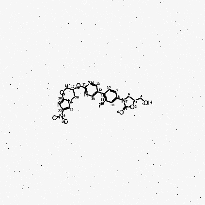 O=C1O[C@H](CO)CN1c1ccc(-c2cnc(OC3COc4nc([N+](=O)[O-])cn4C3)nc2)c(F)c1